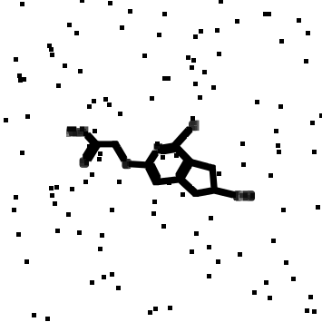 CNC(=O)COc1cc2c(c(Cl)n1)CC(C=O)C2